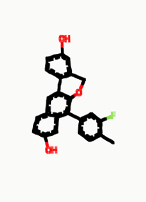 Cc1ccc(-c2c3c(cc4ccc(O)cc24)-c2ccc(O)cc2CO3)cc1F